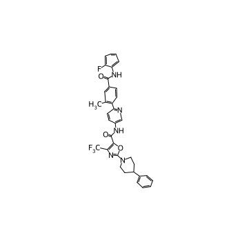 Cc1cc(C(=O)Nc2ccccc2F)ccc1-c1ccc(NC(=O)c2oc(N3CCC(c4ccccc4)CC3)nc2C(F)(F)F)cn1